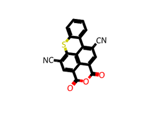 N#Cc1cc2c(=O)oc(=O)c3cc(C#N)c4c5ccccc5sc1c4c23